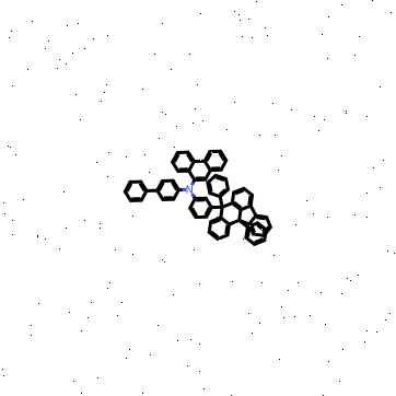 c1ccc(-c2ccc(N(c3cccc(C4(c5ccccc5)c5ccccc5C5(c6ccccc6)c6ccccc6-c6cccc4c65)c3)c3cc4ccccc4c4ccccc34)cc2)cc1